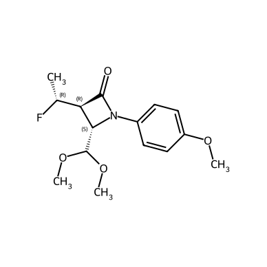 COc1ccc(N2C(=O)[C@H]([C@@H](C)F)[C@H]2C(OC)OC)cc1